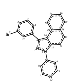 Brc1cccc(-c2nn(-c3ccncc3)c3ccc4ccccc4c23)c1